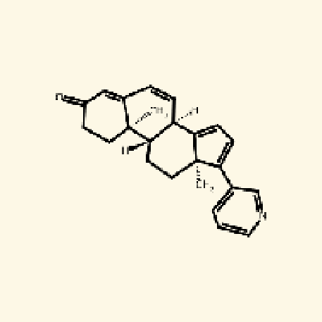 C[C@]12CC[C@H]3[C@@H](C=CC4=CC(=O)CC[C@@]43C)C1=CC=C2c1cccnc1